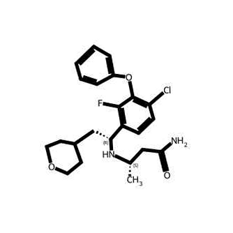 C[C@@H](CC(N)=O)N[C@H](CC1CCOCC1)c1ccc(Cl)c(Oc2ccccc2)c1F